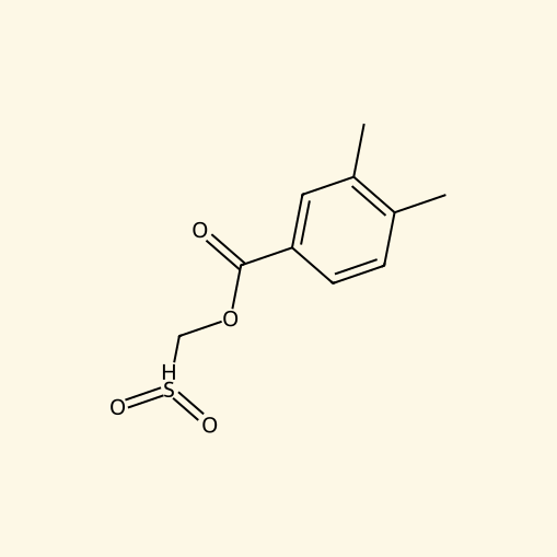 Cc1ccc(C(=O)OC[SH](=O)=O)cc1C